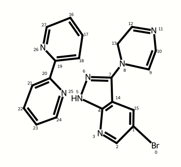 Brc1cnc2[nH]nc(N3C=CN=CC3)c2c1.c1ccc(-c2ccccn2)nc1